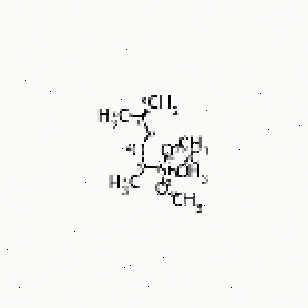 C=C(C)COC(C)[Si](OC)(OC)OC